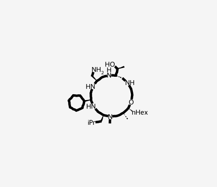 CCCCCC[C@H]1OCCNC[C@@H]([C@H](C)O)NC[C@H](CN)NC[C@H](C2CCCCCC2)NC[C@H](CC(C)C)N(C)C[C@H]1C